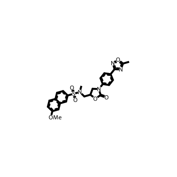 COc1ccc2ccc(S(=O)(=O)N(C)CC3CN(c4ccc(-c5noc(C)n5)cc4)C(=O)O3)cc2c1